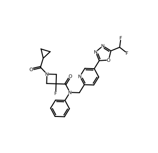 O=C(C1CC1)N1CC(F)(C(=O)N(Cc2ccc(-c3nnc(C(F)F)o3)cn2)c2ccccc2)C1